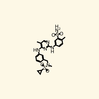 Cc1ccc(Nc2ncc(C)c(Nc3cccc(CN(C)S(=O)(=O)C4CC4)c3)n2)cc1S(N)(=O)=O